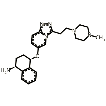 CN1CCN(CCc2nnc3ccc(O[C@@H]4CC[C@H](N)c5ccccc54)cn23)CC1